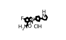 Cl.NC(=O)c1cc(F)cc2cn(-c3ccc(C4CCCCN4)cc3)nc12